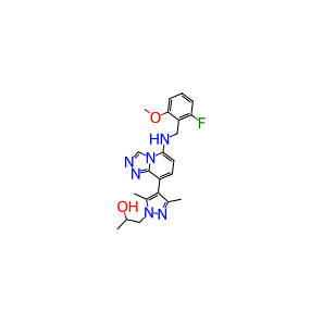 COc1cccc(F)c1CNc1ccc(-c2c(C)nn(CC(C)O)c2C)c2nncn12